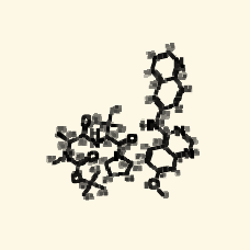 COc1cc2ncnc(Nc3ccc4ncccc4c3)c2cc1[C@@H]1CCCN1C(=O)[C@@H](NC(=O)[C@H](C)N(C)C(=O)OC(C)(C)C)C(C)(C)C